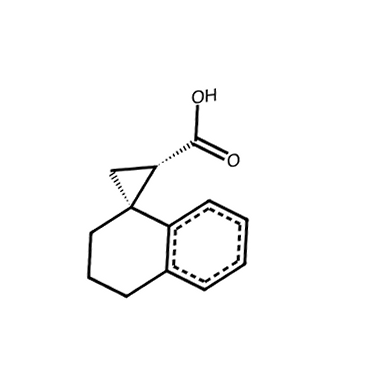 O=C(O)[C@H]1C[C@]12CCCc1ccccc12